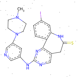 CN1CCN(c2cncc(Nc3ncc4c(n3)-c3ccc(I)cc3NC(=S)C4)c2)CC1